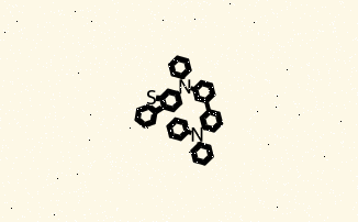 c1ccc(N(c2ccccc2)c2cccc(-c3cccc(N(c4ccccc4)c4ccc5c(c4)sc4ccccc45)c3)c2)cc1